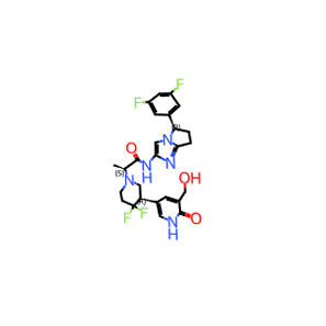 C[C@@H](C(=O)Nc1cn2c(n1)CC[C@@H]2c1cc(F)cc(F)c1)N1CCC(F)(F)[C@H](c2c[nH]c(=O)c(CO)c2)C1